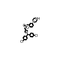 O=S(=O)(C=C1CN(C(c2ccc(Cl)cc2)c2ccc(Cl)cc2)C1)Cc1cccc(N2CCNCC2)c1